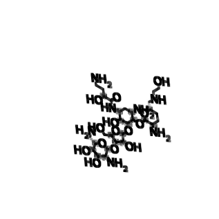 NCC[C@H](O)C(=O)N[C@@H]1C[C@H](N)[C@@H](O[C@H]2O[C@H](CNCCO)CC[C@H]2N)[C@H](O[C@@H]2O[C@H](CO)[C@@H](O[C@H]3O[C@@H](CN)[C@@H](O)[C@H](O)[C@H]3N)[C@H]2O)[C@H]1O